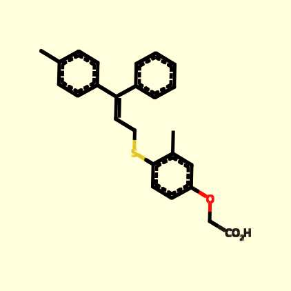 Cc1ccc(C(=CCSc2ccc(OCC(=O)O)cc2C)c2ccccc2)cc1